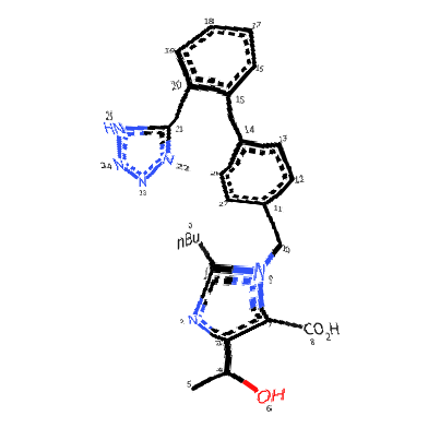 CCCCc1nc(C(C)O)c(C(=O)O)n1Cc1ccc(-c2ccccc2-c2nnn[nH]2)cc1